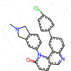 CN1Cc2ccc(-n3c(=O)ccc4cnc5ccc(-c6ccc(Cl)cc6)cc5c43)cc2C1